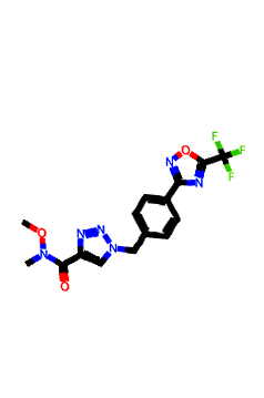 CON(C)C(=O)c1cn(Cc2ccc(-c3noc(C(F)(F)F)n3)cc2)nn1